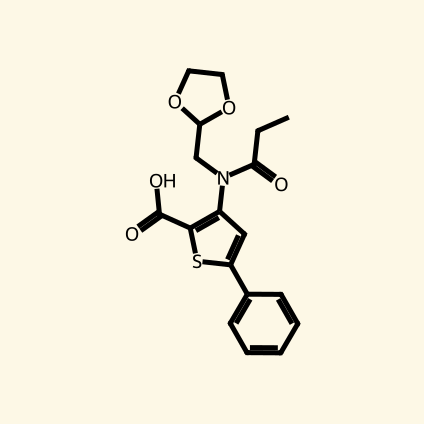 CCC(=O)N(CC1OCCO1)c1cc(-c2ccccc2)sc1C(=O)O